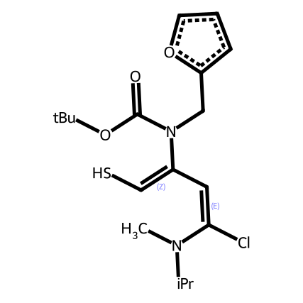 CC(C)N(C)/C(Cl)=C\C(=C\S)N(Cc1ccco1)C(=O)OC(C)(C)C